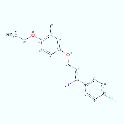 Cc1cc(OCC=C(I)c2ccc(F)cc2)ccc1OCC(=O)O